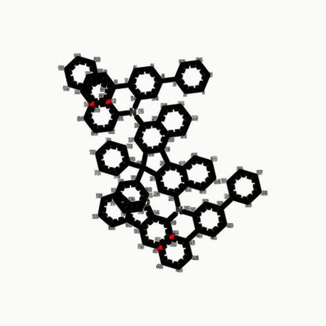 c1ccc(-c2ccc(-c3ccccc3)c(N(c3cc4c(c5ccccc35)-c3c(cc(N(c5cc(-c6ccccc6)ccc5-c5ccccc5)c5cccc6c5oc5ccccc56)c5ccccc35)C4(c3ccccc3)c3ccccc3)c3cccc4c3oc3ccccc34)c2)cc1